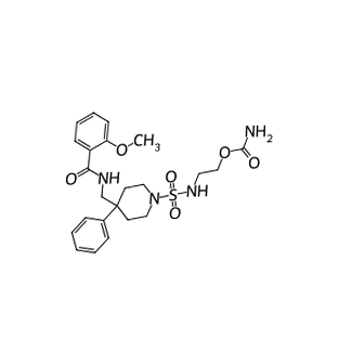 COc1ccccc1C(=O)NCC1(c2ccccc2)CCN(S(=O)(=O)NCCOC(N)=O)CC1